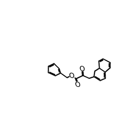 O=C(CC1=CC=C2C=CC=CC2C1)C(=O)OCc1ccccc1